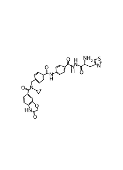 N[C@@H](Cc1cscn1)C(=O)NNC(=O)c1ccc(NC(=O)c2ccc(CN(C(=O)c3ccc4c(c3)OCC(=O)N4)C3CC3)cc2)cc1